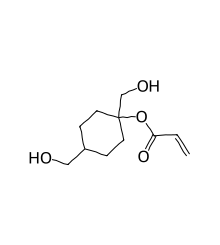 C=CC(=O)OC1(CO)CCC(CO)CC1